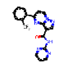 O=C(Nc1ncccn1)c1cnn2ccc(-c3ccccc3C(F)(F)F)nc12